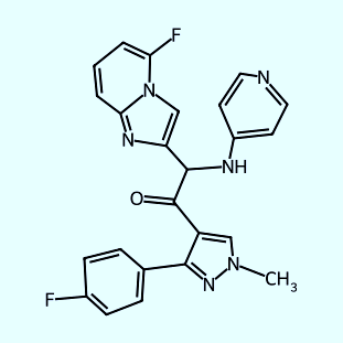 Cn1cc(C(=O)C(Nc2ccncc2)c2cn3c(F)cccc3n2)c(-c2ccc(F)cc2)n1